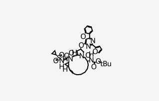 CC(C)(C)OC(=O)N[C@H]1CCCCC/C=C\[C@@H]2C[C@@]2(C(=O)NS(=O)(=O)C2CC2)NC(=O)[C@@H]2C[C@@H](Oc3nc(-c4ccco4)nc4c3oc3ccccc34)CN2C1=O